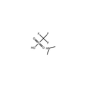 CNC.O=S(=O)(O)C(F)(F)F